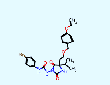 CCOc1ccc(COCCC2(C(C)C)NC(=O)N(NC(=O)Nc3ccc(Br)cc3)C2=O)cc1